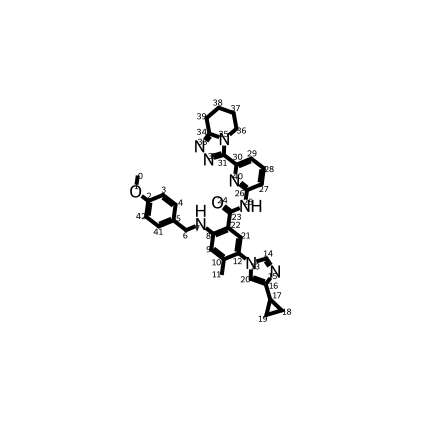 COc1ccc(CNc2cc(C)c(-n3cnc(C4CC4)c3)cc2C(=O)Nc2cccc(-c3nnc4n3CCCC4)n2)cc1